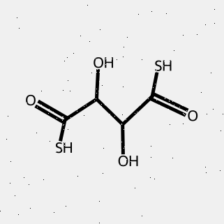 O=C(S)C(O)C(O)C(=O)S